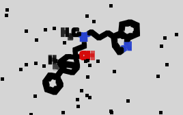 CN(CCCc1ccnc2ccccc12)CCC1(O)C[C@@H]2CCC1C=C2c1ccccc1